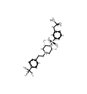 C[C@@H]1CN(CCc2ccc(C(F)(F)F)cc2)C[C@H](C)N1S(=O)(=O)c1cccc(CC(=O)O)c1